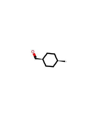 [CH2][C@H]1CC[C@@H](C=O)CC1